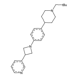 CC(C)(C)CN1CCC(c2ccc(N3CC(c4cccnc4)C3)cc2)CC1